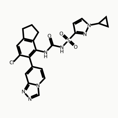 O=C(Nc1c2c(cc(Cl)c1-c1ccn3cnnc3c1)CCC2)NS(=O)(=O)c1ccn(C2CC2)n1